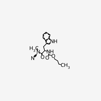 CCCCOC(=O)NC(Cc1c[nH]c2ccccc12)C(=O)N(C)C#N